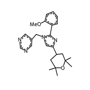 COc1ccccc1-c1nc(C2CC(C)(C)OC(C)(C)C2)cn1Cc1cncnc1